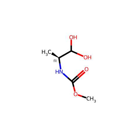 COC(=O)N[C@@H](C)C(O)O